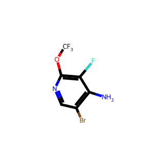 Nc1c(Br)cnc(OC(F)(F)F)c1F